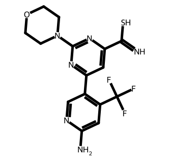 N=C(S)c1cc(-c2cnc(N)cc2C(F)(F)F)nc(N2CCOCC2)n1